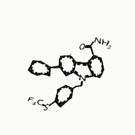 NC(=O)c1cccc2c1c1[c]cc(-c3ccccc3)cc1n2Cc1ccc(SC(F)(F)F)cc1